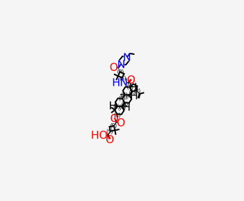 C=C(C)[C@@H]1CC[C@]2(C(=O)N[C@H]3C[C@@H](C(=O)N4CCN(CC)CC4)C3(C)C)CC[C@]3(C)[C@H](CC[C@@H]4[C@@]5(C)CC[C@H](OC(=O)[C@@H]6C[C@H](C(=O)O)C6(C)C)C(C)(C)[C@@H]5CC[C@]43C)[C@@H]12